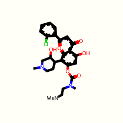 CNCCN(C)C(=O)Oc1cc(O)c2c(=O)cc(-c3ccccc3Cl)oc2c1C1CCN(C)CC1O